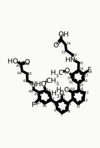 COc1cc(-c2cccc(-c3cccc(-c4cc(F)c(CNCCCC(=O)O)c(OC)c4)c3C)c2C)cc(F)c1CNCCCC(=O)O